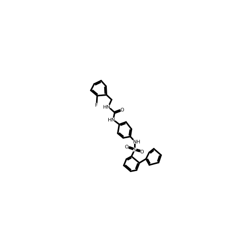 O=C(NCc1ccccc1F)Nc1ccc(NS(=O)(=O)c2ccccc2-c2ccccc2)cc1